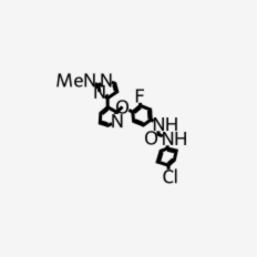 CNc1nccc(-c2cccnc2Oc2ccc(NC(=O)Nc3ccc(Cl)cc3)cc2F)n1